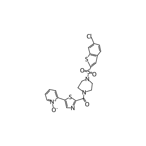 O=C(c1ncc(-c2cccc[n+]2[O-])s1)N1CCN(S(=O)(=O)c2cc3ccc(Cl)cc3s2)CC1